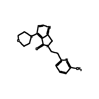 Cc1cccc(CCN2Cc3nccc(N4CCOCC4)c3C2=O)n1